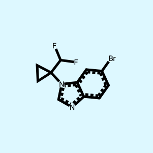 FC(F)C1(n2cnc3ccc(Br)cc32)CC1